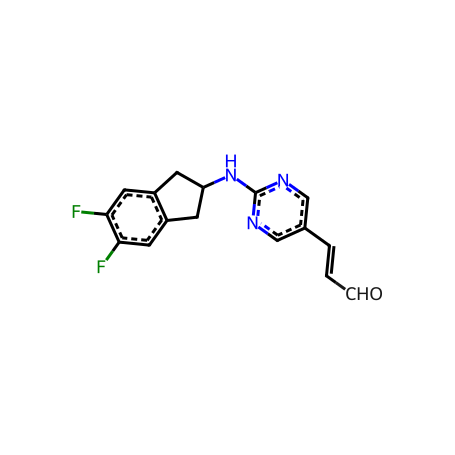 O=CC=Cc1cnc(NC2Cc3cc(F)c(F)cc3C2)nc1